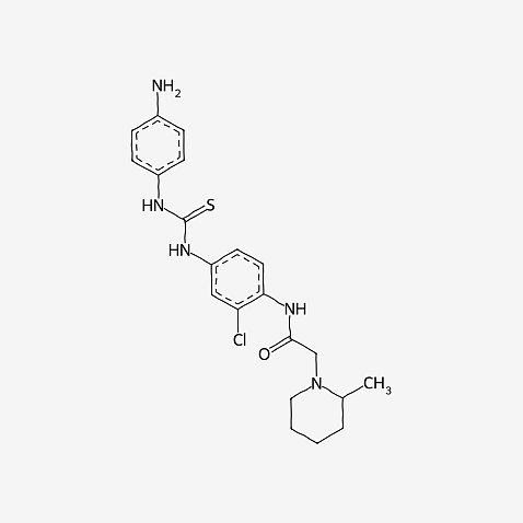 CC1CCCCN1CC(=O)Nc1ccc(NC(=S)Nc2ccc(N)cc2)cc1Cl